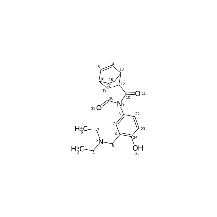 CCN(CC)Cc1cc(N2C(=O)C3C4C=CC(CC4)C3C2=O)ccc1O